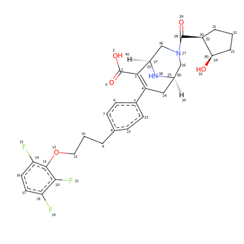 O=C(O)C1=C(c2ccc(CCCOc3c(F)ccc(F)c3F)cc2)C[C@@H]2CN(C(=O)[C@H]3CCC[C@H]3O)C[C@H]1N2